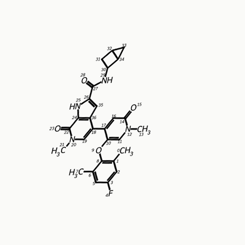 Cc1cc(F)cc(C)c1Oc1cn(C)c(=O)cc1-c1cn(C)c(=O)c2[nH]c(C(=O)NC3CC4CC43)cc12